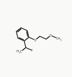 [CH2]C(F)c1ccccc1OCCOC